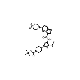 CC(C)(C)OC(=O)N1CCC(n2cc(NC(=O)c3cnn4ccc(N5CCS(=O)(=O)CC5)nc34)c(C(F)F)n2)CC1